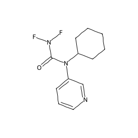 O=C(N(F)F)N(c1cccnc1)C1CCCCC1